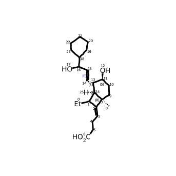 CCC1C(=CCCC(=O)O)[C@]2(C)CC[C@H](O)[C@@H](/C=C/C(O)C3CCCCC3)[C@H]12